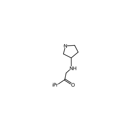 CC(C)C(=O)CNC1CC[N]C1